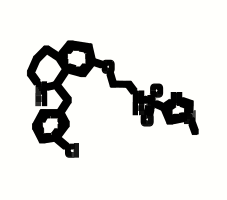 Cn1cnc(S(=O)(=O)NCCOc2ccc3c(c2)C(Cc2cccc(Cl)c2)NCCC3)c1